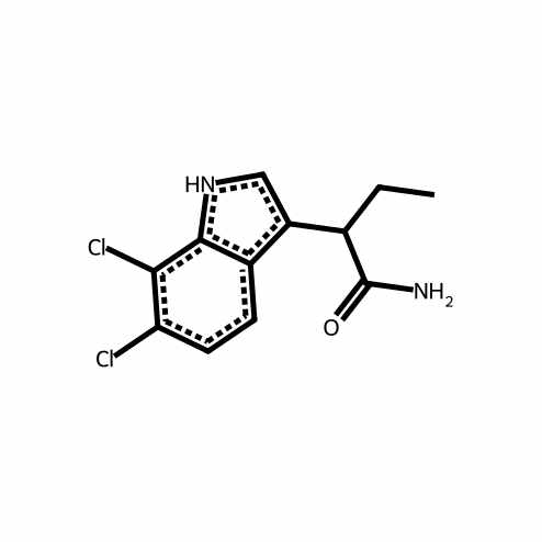 CCC(C(N)=O)c1c[nH]c2c(Cl)c(Cl)ccc12